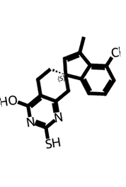 CC1=C[C@@]2(CCc3c(O)nc(S)nc3C2)c2cccc(Cl)c21